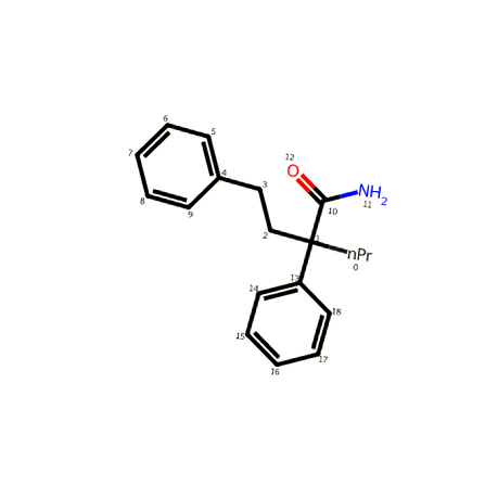 CCCC(CCc1ccccc1)(C(N)=O)c1ccccc1